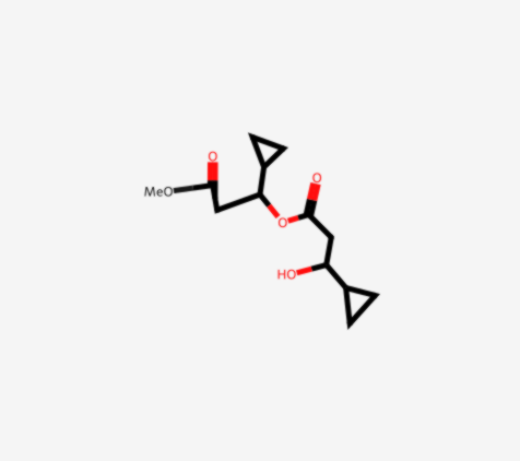 COC(=O)CC(OC(=O)CC(O)C1CC1)C1CC1